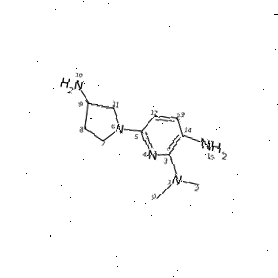 CN(C)c1nc(N2CCC(N)C2)ccc1N